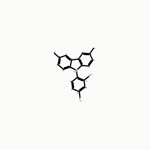 Cc1ccc2c(c1)c1cc(C)ccc1n2-c1ccc(F)cc1F